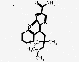 CN(C)CC(C)(C)Cc1c2c(nc3cc(C(N)=O)ccc13)CCCC2